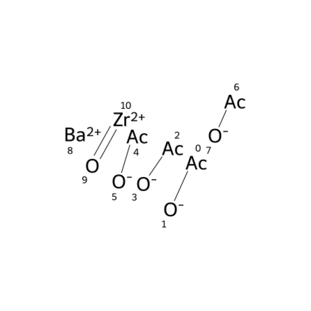 CC(=O)[O-].CC(=O)[O-].CC(=O)[O-].CC(=O)[O-].[Ba+2].[O]=[Zr+2]